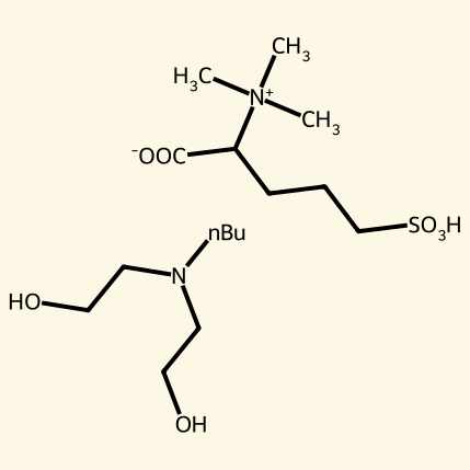 CCCCN(CCO)CCO.C[N+](C)(C)C(CCCS(=O)(=O)O)C(=O)[O-]